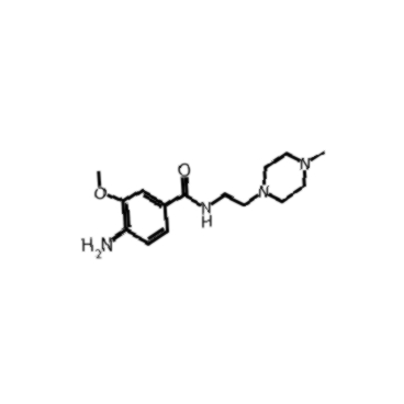 COc1cc(C(=O)NCCN2CCN(C)CC2)ccc1N